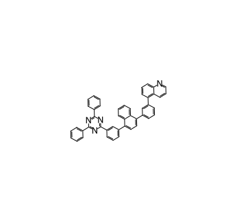 c1ccc(-c2nc(-c3ccccc3)nc(-c3cccc(-c4ccc(-c5cccc(-c6cccc7ncccc67)c5)c5ccccc45)c3)n2)cc1